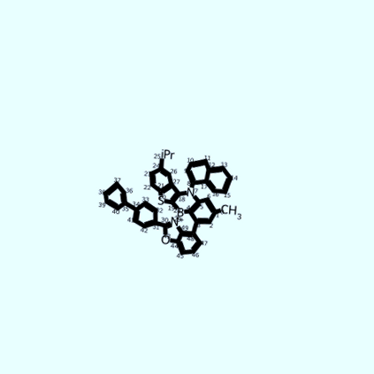 Cc1cc2c3c(c1)N(c1cccc4ccccc14)c1c(sc4ccc(C(C)C)cc14)B3[n+]1c(-c3ccc(-c4ccccc4)cc3)oc3cccc-2c31